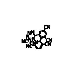 N#CC1=CC=C(C#N)N2C1c1c(C#N)cc(C#N)cc1C1=NN=N[N+](C#N)(C#N)N12